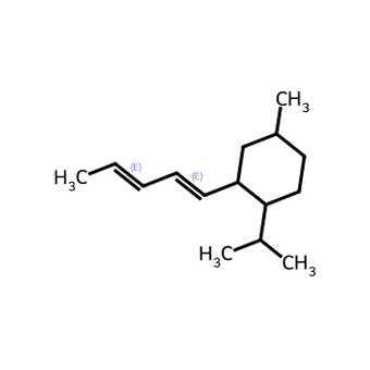 C/C=C/C=C/C1CC(C)CCC1C(C)C